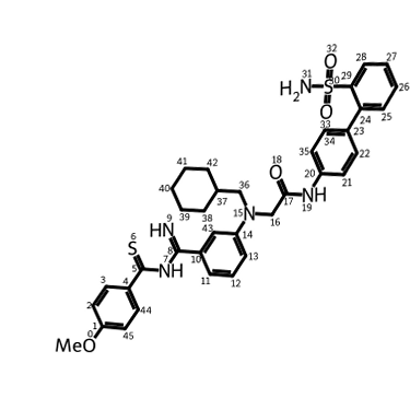 COc1ccc(C(=S)NC(=N)c2cccc(N(CC(=O)Nc3ccc(-c4ccccc4S(N)(=O)=O)cc3)CC3CCCCC3)c2)cc1